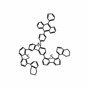 c1ccc(-c2c3ccccc3c(-c3ccc(-n4c5ccc(-c6cccc7c6sc6c(-c8cccc9c8CCCC9)cccc67)cc5c5cc(-c6cccc7c6sc6c(-c8cccc9c8CCCC9)cccc67)ccc54)cc3)c3ccccc23)cc1